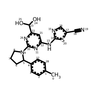 Cc1ccc(C2CCCN2c2nc(Nc3ncc(C#N)s3)cc(C(O)O)n2)cc1